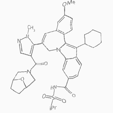 COc1ccc2c(c1)C=C(c1c(C(=O)N3CC4CCC(C3)O4)cnn1C)Cn1c-2c(C2CCCCC2)c2ccc(C(=O)NS(=O)(=O)C(C)C)cc21